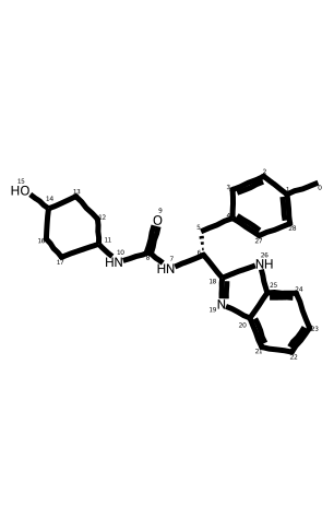 Cc1ccc(C[C@@H](NC(=O)NC2CCC(O)CC2)c2nc3ccccc3[nH]2)cc1